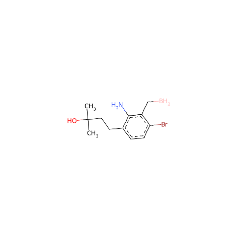 BCc1c(Br)ccc(CCC(C)(C)O)c1N